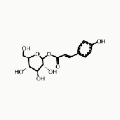 O=C(/C=C/c1ccc(O)cc1)OC1O[C@H](CO)[C@@H](O)[C@H](O)[C@H]1O